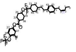 CC/C=C\Cc1ccc(CCC2CCC(C(F)(F)OC3CCC(C(=O)Oc4ccc(OC(F)(F)F)c(F)c4)CC3)CC2)cc1